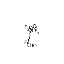 O=C/C(F)=C/CCCCCCOC(c1ccccc1)(C(F)(F)F)C(F)(F)F